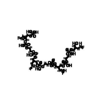 O=P(O)(O)OCC(CNF)COP(=O)(O)OCCOP(=O)(O)OCC(CNF)COP(=O)(O)OCCOP(=O)(O)OCC(CNF)COP(=O)(O)OCCOP(=O)(O)OCC(CO)CNF